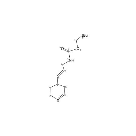 CC(C)(C)COC(=O)NC/C=C/C1CC=CCC1